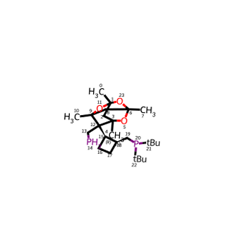 CC12CC3(C)OC(C)(CC(C)(O1)C3(CP)[C@@H]1CC[C@@H]1CP(C(C)(C)C)C(C)(C)C)O2